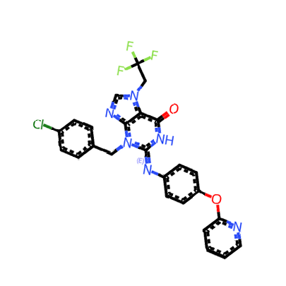 O=c1[nH]/c(=N\c2ccc(Oc3ccccn3)cc2)n(Cc2ccc(Cl)cc2)c2ncn(CC(F)(F)F)c12